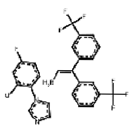 BC=C(c1cccc(C(F)(F)F)c1)c1cccc(C(F)(F)F)c1.Fc1ccc(-n2ccnc2)c(Cl)c1